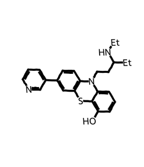 CCNC(CC)CCN1c2ccc(-c3cccnc3)cc2Sc2c(O)cccc21